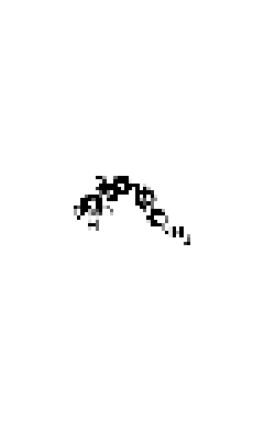 Nc1ccc(N2CCN(Cc3ccc4c(c3)CN(C3CCC(=O)NC3=O)C4=O)CC2)cn1